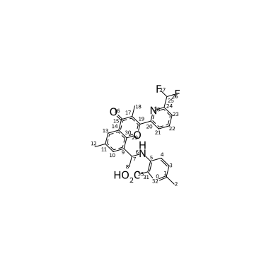 C=C(C)/C=C\C(NC(C)c1cc(C)cc2c(=O)c(C)c(-c3cccc(C(F)F)n3)oc12)=C(/C)C(=O)O